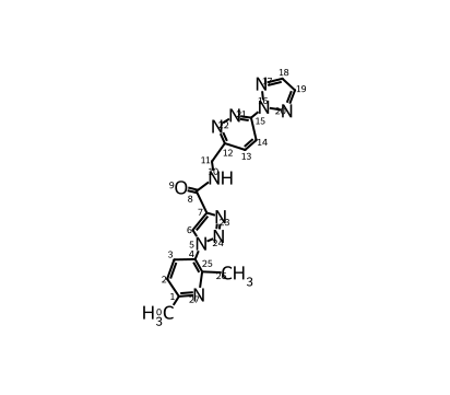 Cc1ccc(-n2cc(C(=O)NCc3ccc(-n4nccn4)nn3)nn2)c(C)n1